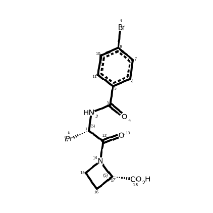 CC(C)[C@H](NC(=O)c1ccc(Br)cc1)C(=O)N1CC[C@H]1C(=O)O